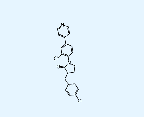 O=C1C(Cc2ccc(Cl)cc2)CCN1c1ccc(-c2ccncc2)cc1Cl